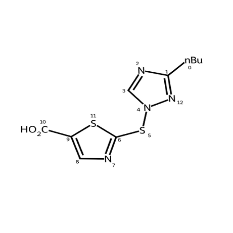 CCCCc1ncn(Sc2ncc(C(=O)O)s2)n1